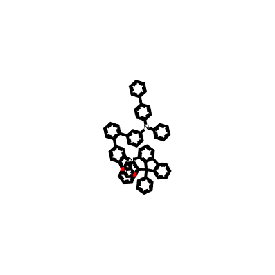 c1ccc(-c2ccc(N(c3ccccc3)c3cccc(-c4ccccc4-c4ccc5c6ccccc6n(-c6cccc7c6C(c6ccccc6)(c6ccccc6)c6ccccc6-7)c5c4)c3)cc2)cc1